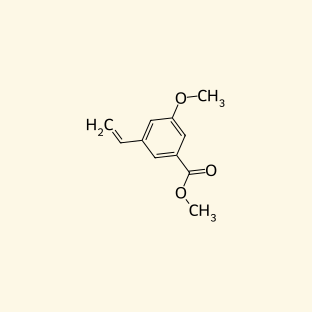 C=Cc1cc(OC)cc(C(=O)OC)c1